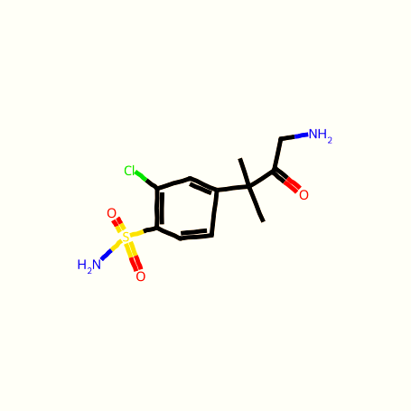 CC(C)(C(=O)CN)c1ccc(S(N)(=O)=O)c(Cl)c1